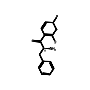 N[C@@H](Cc1ccccc1)C(=O)C1=C(F)[CH]C(F)C=C1